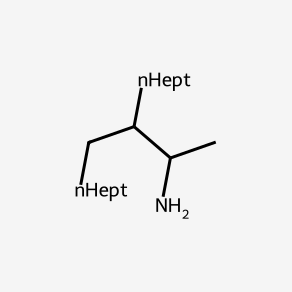 CCCCCCCCC(CCCCCCC)C(C)N